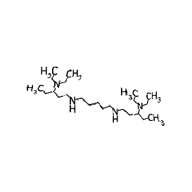 CCC(CCNCCCCCNCCC(CC)N(CC)CC)N(CC)CC